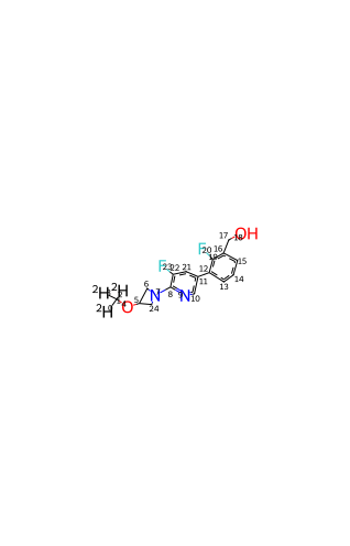 [2H]C([2H])([2H])OC1CN(c2ncc(-c3cccc(CO)c3F)cc2F)C1